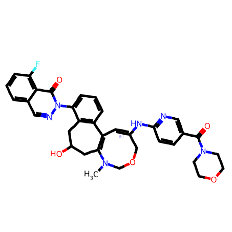 CN1COC/C(Nc2ccc(C(=O)N3CCOCC3)cn2)=C\C2=C1CC(O)Cc1c2cccc1-n1ncc2cccc(F)c2c1=O